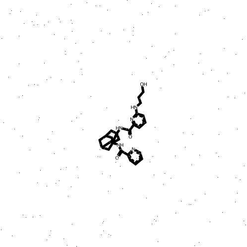 O=C(NC12CC3CC(C1)CC(NC(=O)c1cccc(NCCCO)n1)(C3)C2)c1ccccn1